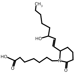 CCCCCC(O)C=CC1CCCC(=O)N1CCCCCCC(=O)O